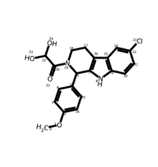 COc1ccc(C2c3[nH]c4ccc(Cl)cc4c3CCN2C(=O)C(O)O)cc1